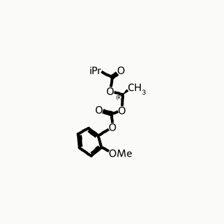 COc1ccccc1OC(=O)O[C@H](C)OC(=O)C(C)C